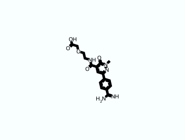 Cn1nc(-c2ccc(C(=N)N)cc2)cc(C(=O)NCCOCC(=O)O)c1=O